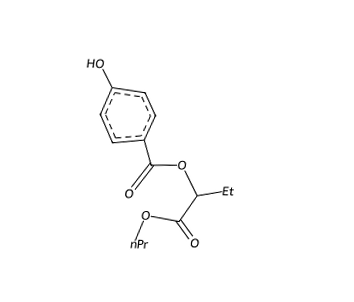 CCCOC(=O)C(CC)OC(=O)c1ccc(O)cc1